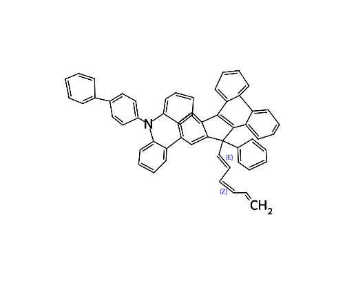 C=C/C=C\C=C\C1(c2ccccc2)c2cc(-c3ccccc3N(c3ccccc3)c3ccc(-c4ccccc4)cc3)ccc2-c2c1c1ccccc1c1ccccc21